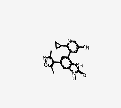 Cc1noc(C)c1-c1cc(-c2cc(C#N)cnc2C2CC2)c2[nH]c(=O)[nH]c2c1